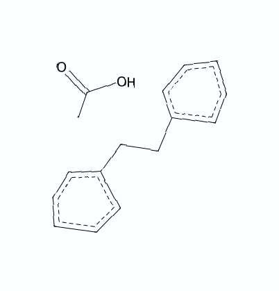 CC(=O)O.c1ccc(CCc2ccccc2)cc1